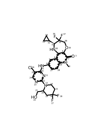 Cn1c(=O)c2c(c3cc(Nc4nc(N5CCC(F)(F)CC5CO)ncc4Cl)ccc31)N[C@@H](C1CC1)C(F)(F)CO2